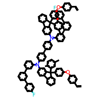 C=Cc1ccc(Oc2ccc(C3(c4cc(C)ccc4C)c4ccccc4-c4ccc(N(c5ccc(-c6ccc(N(c7cccc(-c8cccc(-c9ccc(F)cc9)c8)c7)c7ccc8c(c7)C(c7ccc(Oc9ccc(C=C)cc9)cc7)(c7cc(C)ccc7C)c7ccccc7-8)cc6)cc5)c5cccc(-c6cccc(-c7ccc(F)cc7)c6)c5)cc43)cc2)cc1